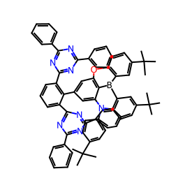 CC(C)(C)c1ccc(N2c3ccc(C(C)(C)C)cc3B3c4cc(C(C)(C)C)ccc4Oc4cc(-c5c(-c6nc(-c7ccccc7)nc(-c7ccccc7)n6)cccc5-c5nc(-c6ccccc6)nc(-c6ccccc6)n5)cc2c43)cc1